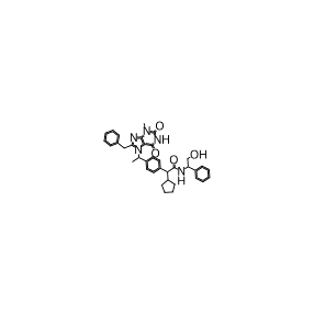 CC(c1ccc(C(C(=O)NC(CO)c2ccccc2)C2CCCC2)cc1)n1c(Cc2ccccc2)nc2c1c(=O)[nH]c(=O)n2C